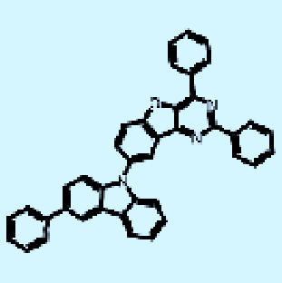 c1ccc(-c2ccc3c(c2)c2ccccc2n3-c2ccc3oc4c(-c5ccccc5)nc(-c5ccccc5)nc4c3c2)cc1